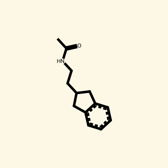 CC(=O)NCCC1Cc2ccccc2C1